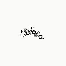 CC(C)Nc1nc(Nc2ccc(C(=O)NC3CCN(C)CC3)cc2F)ncc1[N+](=O)[O-]